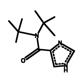 CC(C)(C)N(C(=O)c1c[nH]cn1)C(C)(C)C